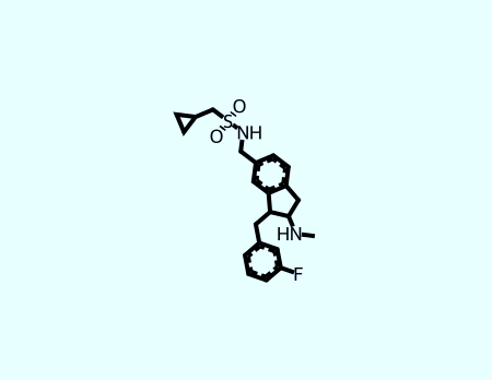 CNC1Cc2ccc(CNS(=O)(=O)CC3CC3)cc2C1Cc1cccc(F)c1